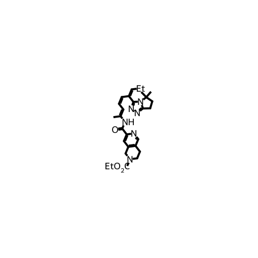 CC/C=C(/C=C\C=C(/C)NC(=O)c1cc2c(cn1)CCN(C(=O)OCC)C2)c1nnc2n1C(C)(C)CC2